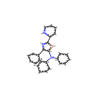 c1ccc(-c2nc(-c3ccccn3)sc2N(c2ccccc2)c2ccccc2)cc1